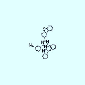 N#Cc1ccc(-n2c3ccccc3c3ccccc32)c(-c2nc(-c3ccccc3)nc(-c3ccc4sc5ccccc5c4c3)n2)c1